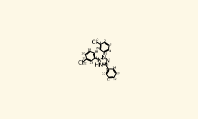 Clc1cccc(N2N=C(c3ccccc3)NN2c2cccc(Cl)c2)c1